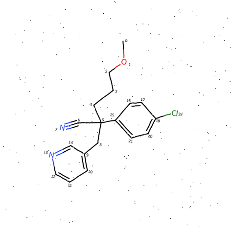 COCCCC(C#N)(Cc1cccnc1)c1ccc(Cl)cc1